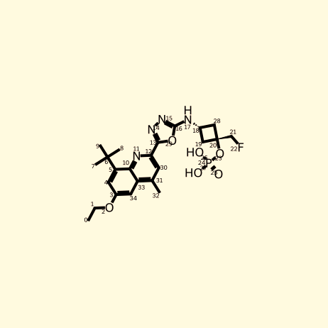 CCOc1cc(C(C)(C)C)c2nc(-c3nnc(N[C@H]4C[C@@](CF)(OP(=O)(O)O)C4)o3)cc(C)c2c1